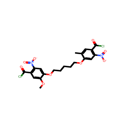 COc1cc(C(=O)Cl)c([N+](=O)[O-])cc1OCCCCCOc1cc([N+](=O)[O-])c(C(=O)Cl)cc1C